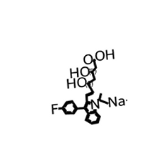 CC(C)n1c(C=C[C@@H](O)C[C@@H](O)CC(=O)O)c(-c2ccc(F)cc2)c2ccccc21.[Na]